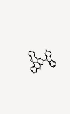 c1ccc2c(c1)Oc1cc(-n3c4ccccc4c4ccncc43)cc3c1B2Oc1ccccc1-3